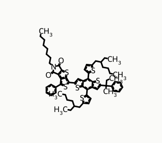 CCCCCCCCN1C(=O)c2sc3c(-c4cc5c(-c6ccc(CC(CC)CCCC)s6)c6sc(C(C)(CC)c7ccccc7)cc6c(-c6ccc(CC(CC)CCCC)s6)c5s4)sc(-c4ccccc4)c3c2C1=O